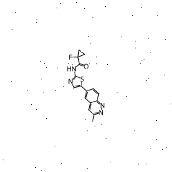 Cc1cc2cc(-c3cnc(NC(=O)C4(F)CC4)s3)ccc2nn1